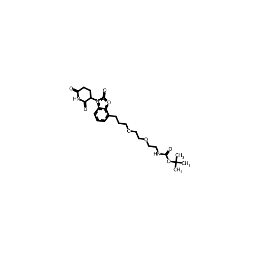 CC(C)(C)OC(=O)NCCOCCOCCCc1cccc2c1oc(=O)n2C1CCC(=O)NC1=O